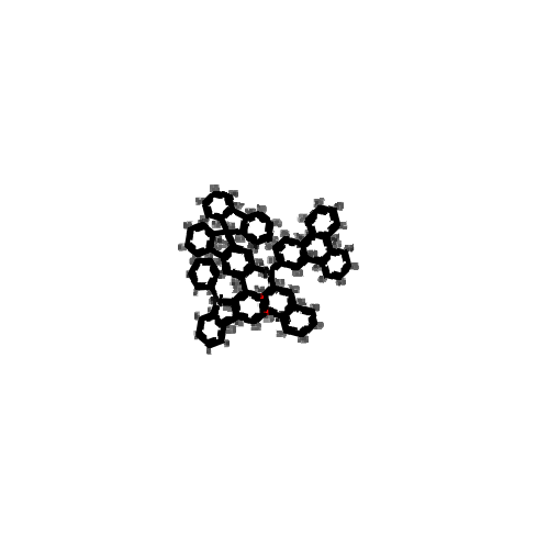 c1ccc(-n2c3ccccc3c3cccc(-c4cc5c(cc4N(c4ccc6ccccc6c4)c4ccc6c7ccccc7c7ccccc7c6c4)C4(c6ccccc6-c6ccccc64)c4ccccc4-5)c32)cc1